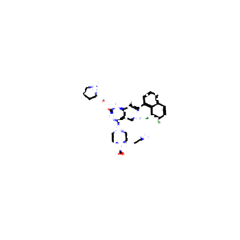 CN1C[C@@H](F)C[C@H]1COc1nc(N2CCN(C(=O)O)[C@@H](CC#N)C2)c2cnc(-c3cccc4ccc(F)c(Cl)c34)c(F)c2n1